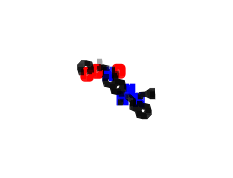 C[C@H](CN1CCc2cc3c(cc2C1=O)nc(-c1cc2ccccc2n1CC1CC1)n3C)OC1CCCCO1